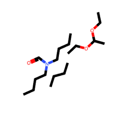 CCCC.CCCCN(C=O)CCCC.CCOC(C)OCC